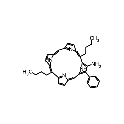 CCCCc1c2nc(cc3[nH]c(c(N)c3-c3ccccc3)c(CCCC)c3nc(cc4ccc1[nH]4)C=C3)C=C2